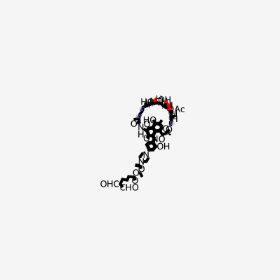 C=C(OC(C)OC(=O)CCCC(C=O)C=O)N1CCN(c2cc(O)c3nc4c5c6c7c(C)c(O)c5c(=O)c(c-4oc3c2)NC(=O)/C(C)=C\C=C\[C@H](C)[C@H](O)[C@@H](C)[C@@H](O)[C@@H](C)[C@H](OC(C)=O)[C@H](C)[C@@H](C)/C=C/O[C@@](C)(O7)C6=O)CC1